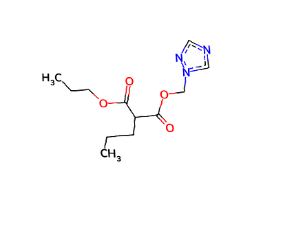 CCCOC(=O)C(CCC)C(=O)OCn1cncn1